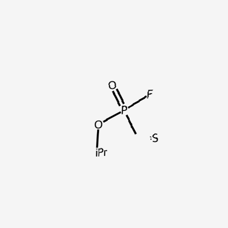 CC(C)OP(C)(=O)F.[S]